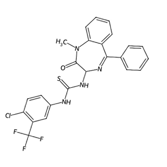 CN1C(=O)C(NC(=S)Nc2ccc(Cl)c(C(F)(F)F)c2)N=C(c2ccccc2)c2ccccc21